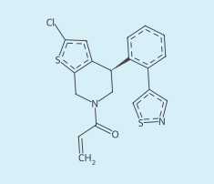 C=CC(=O)N1Cc2sc(Cl)cc2[C@@H](c2ccccc2-c2cnsc2)C1